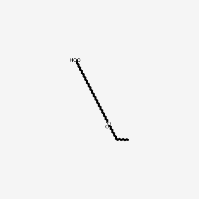 CCCCCC/C=C\CCCCCCCC(=O)OCCCCCCCCCCCCCCCCCCCCCCCCCCCCCCCCCCCCCC(=O)O